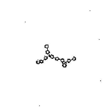 c1ccc(-c2ccc(N(c3ccc(-c4ccc(-c5ccc6c(c5)c5ccccc5n6-c5ccc(-c6ccccc6)cc5)cc4)cc3)c3ccc(-c4ccc5ccccc5c4)cc3)cc2)cc1